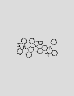 CS(C)(C)c1ccccc1N(c1ccccc1)c1ccc2c3c(ccc2c1)-c1c(cc(N(c2ccccc2)c2ccccc2S(C)(C)C)c2ccccc12)C31c2ccccc2-c2ccccc21